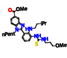 CCCCCn1c(-c2cccc(NC(=S)NCCCOC)c2NCCC(C)C)nc2cc(C(=O)OC)ccc21